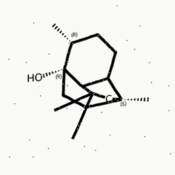 C[C@@H]1CCC2C3C(C)(C)C[C@]2(C)CC[C@]31O